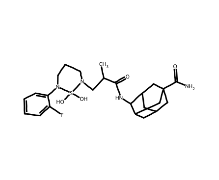 CC(CN1CCCN(c2ccccc2F)S1(O)O)C(=O)NC1C2CC3CC1CC(C(N)=O)(C3)C2